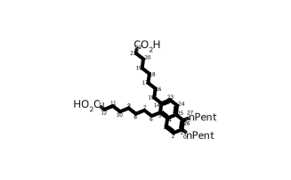 CCCCCc1ccc2c(CCCCCCCC(=O)O)c(CCCCCCCC(=O)O)ccc2c1CCCCC